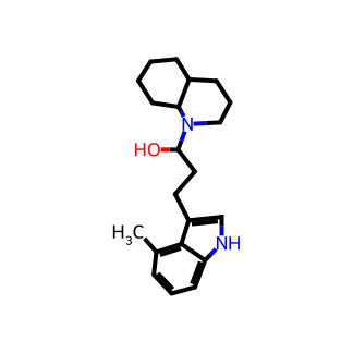 Cc1cccc2[nH]cc(CCC(O)N3CCCC4CCCCC43)c12